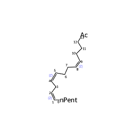 CCCCC/C=C\C/C=C\CC/C=C\CCCC(C)=O